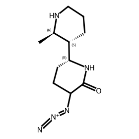 C[C@H]1NCCC[C@@H]1[C@H]1CCC(N=[N+]=[N-])C(=O)N1